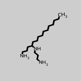 CCCCCCCCCCCC(CCCN)NCCCN